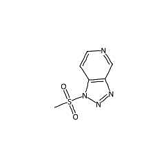 CS(=O)(=O)n1nnc2cnccc21